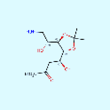 CCOC(=O)C(=O)C[C@H](O)[C@H]1OC(C)(C)O[C@@H]1[C@H](O)CN